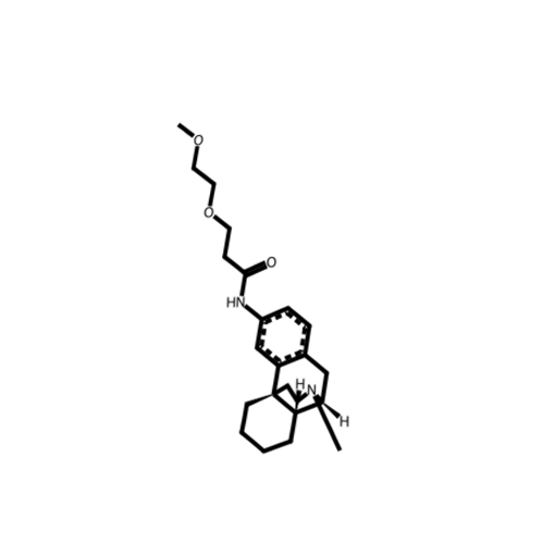 COCCOCCC(=O)Nc1ccc2c(c1)[C@@]13CCCC[C@H]1[C@@H](C2)N(C)CC3